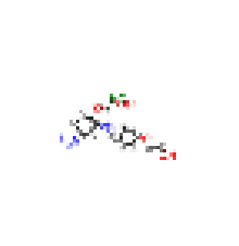 Cl.Nc1ccc(OCCO)c(NCc2ccc(OCCO)cc2)c1